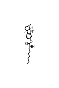 CCCCCCCNC(=O)Oc1ccc2c(c1)N(C)[C@@H]1N(C)CC[C@]21C